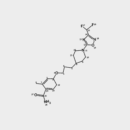 CC1=CC(OCCCC2CCN(c3nc(C(F)F)no3)CC2)CC=C1C(N)=O